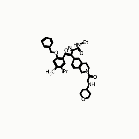 CCNC(=O)c1noc(-c2cc(C(C)C)c(C)cc2OCc2ccccc2)c1-c1ccc2c(c1)CCN(C(=O)CNC1CCOCC1)C2